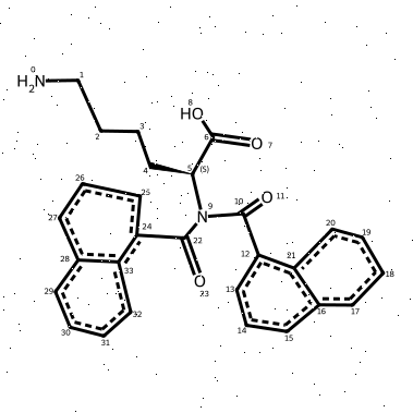 NCCCC[C@@H](C(=O)O)N(C(=O)c1cccc2ccccc12)C(=O)c1cccc2ccccc12